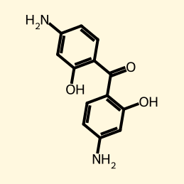 Nc1ccc(C(=O)c2ccc(N)cc2O)c(O)c1